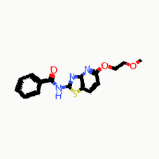 COCCOc1ccc2sc(NC(=O)c3ccccc3)nc2n1